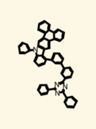 c1ccc(-c2nc(-c3ccccc3)nc(-c3cccc(-c4cccc(-c5cccc6c5c5cc7c8ccccc8c8ccccc8c7cc5n6-c5ccccc5)c4)c3)n2)cc1